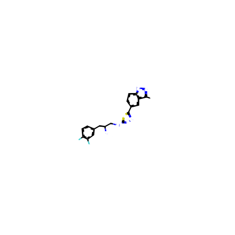 Cc1n[nH]c2ccc(-c3nnc(NCC(N)Cc4ccc(F)c(F)c4)s3)cc12